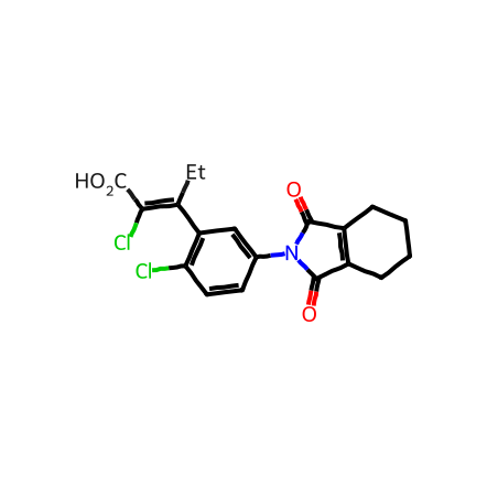 CCC(=C(Cl)C(=O)O)c1cc(N2C(=O)C3=C(CCCC3)C2=O)ccc1Cl